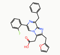 O=C(O)Cc1c(Cc2ccco2)nc2c(Cc3ccccc3)nc(-c3ccccc3F)cn12